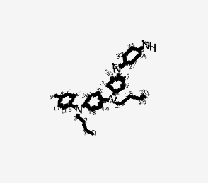 CCCCN(c1ccc(C)cc1)c1ccc(N(CCCC)c2ccc(N=C3C=CC(=N)C=C3)cc2)cc1